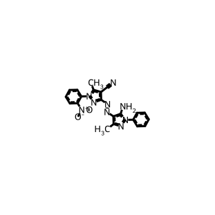 Cc1nn(-c2ccccc2)c(N)c1N=Nc1nn(-c2ccccc2[N+](=O)[O-])c(C)c1C#N